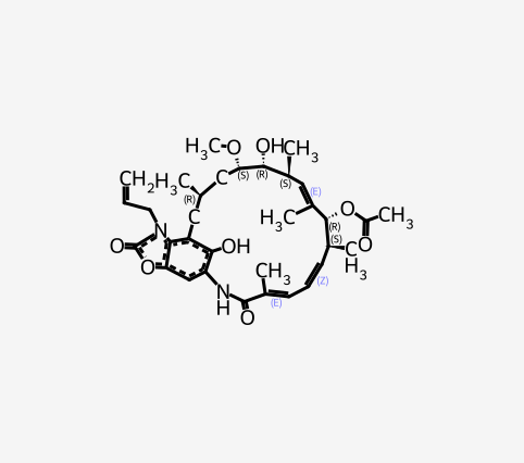 C=CCn1c(=O)oc2cc3c(O)c(c21)C[C@@H](C)C[C@H](OC)[C@H](O)[C@@H](C)/C=C(\C)[C@H](OC(C)=O)[C@@H](C)/C=C\C=C(/C)C(=O)N3